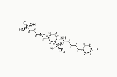 Cc1ccc(CCCCCNc2ccc(CNCCCP(=O)(O)O)cc2C(F)(F)C(F)(F)F)cc1